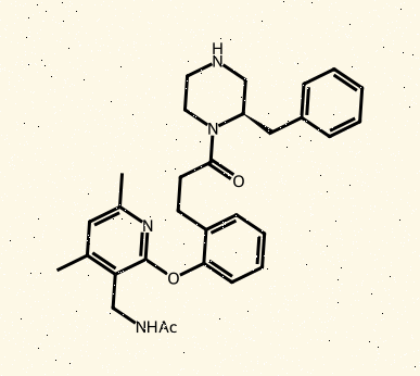 CC(=O)NCc1c(C)cc(C)nc1Oc1ccccc1CCC(=O)N1CCNC[C@H]1Cc1ccccc1